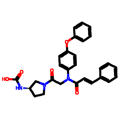 O=C(O)N[C@H]1CCN(C(=O)CN(C(=O)C=Cc2ccccc2)c2ccc(Oc3ccccc3)cc2)C1